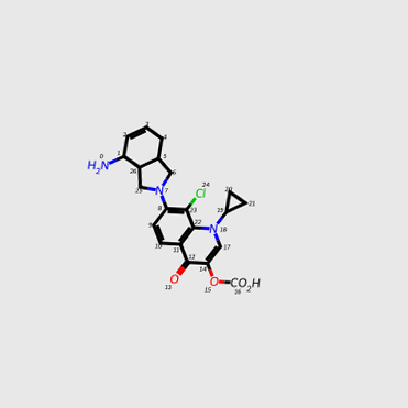 NC1C=CCC2CN(c3ccc4c(=O)c(OC(=O)O)cn(C5CC5)c4c3Cl)CC12